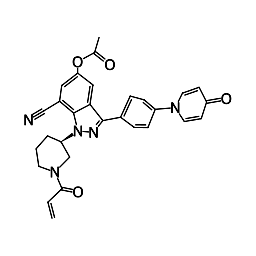 C=CC(=O)N1CCC[C@@H](n2nc(-c3ccc(-n4ccc(=O)cc4)cc3)c3cc(OC(C)=O)cc(C#N)c32)C1